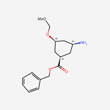 COCO[C@H]1C[C@@H](N)C[C@@H](C(=O)OCc2ccccc2)C1